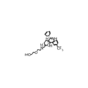 OCCOCCNC[C@H]1CC[C@@H]2[C@H](O1)c1cc(C(F)(F)F)ccc1N[C@H]2C1C=CC=CC1